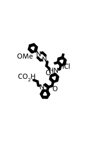 COc1ccccc1N1CCN(CCCOc2cc(C(=O)c3cn(CCCC(=O)O)c4ccccc34)ccc2NCc2ccc(C)cc2C)CC1.Cl